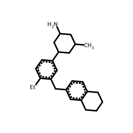 CCc1ccc(C2CC(C)CC(N)C2)cc1Cc1ccc2c(c1)CCCC2